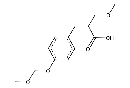 COCOc1ccc(C=C(COC)C(=O)O)cc1